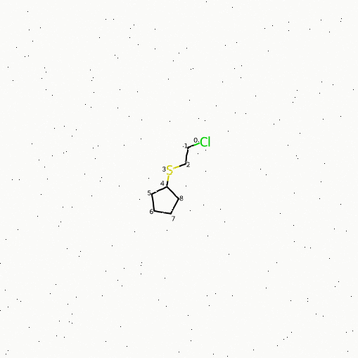 ClCCSC1CCCC1